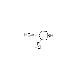 C#C[C@@H]1CCNC[C@@H]1F.Cl